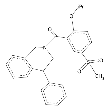 CC(C)Oc1ccc(S(C)(=O)=O)cc1C(=O)N1Cc2ccccc2C(c2ccccc2)C1